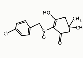 CC1(C)CC(=O)C([S+]([O-])Cc2ccc(Cl)cc2)=C(O)C1